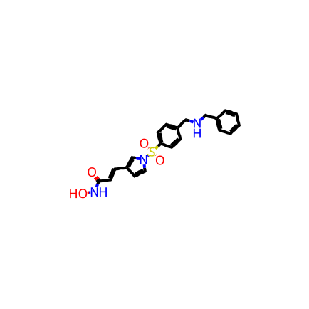 O=C(/C=C/c1ccn(S(=O)(=O)c2ccc(CNCc3ccccc3)cc2)c1)NO